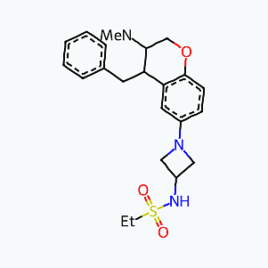 CCS(=O)(=O)NC1CN(c2ccc3c(c2)C(Cc2ccccc2)C(NC)CO3)C1